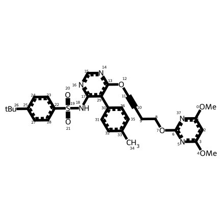 COc1cc(OC)nc(OCCC#COc2ncnc(NS(=O)(=O)c3ccc(C(C)(C)C)cc3)c2-c2ccc(C)cc2)n1